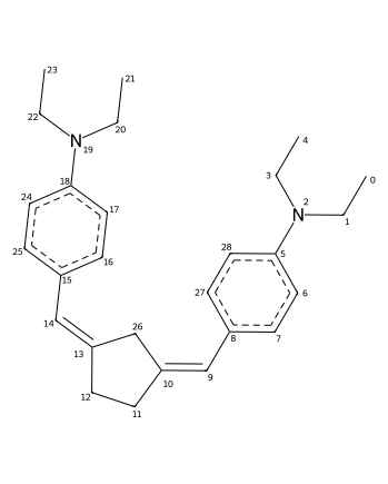 CCN(CC)c1ccc(C=C2CCC(=Cc3ccc(N(CC)CC)cc3)C2)cc1